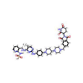 CN(c1ncccc1CNc1nc(Nc2ccc(N3CCC(N4CCN(Cc5ccc6c(c5)C(=O)N(C5CCC(=O)NC5=O)C6=O)CC4)CC3)cc2)ncc1C(F)(F)F)S(C)(=O)=O